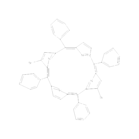 BrC1=CC2=C(c3ccccc3)C3=NC(=C(c4ccccc4)C4=NC(=C(c5ccccc5)C5=NC(=C(c6ccccc6)C1=N2)C=C5)C(Br)=C4)C=C3